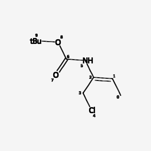 CC=C(CCl)NC(=O)OC(C)(C)C